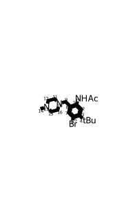 CC(=O)Nc1cc(C(C)(C)C)c(Br)cc1CN1CCN(C)CC1